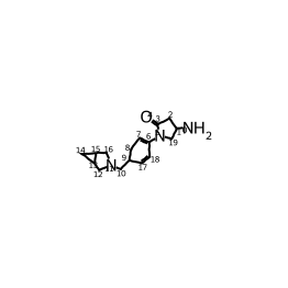 NC1CC(=O)N(C2=CCC(CN3CC4CC4C3)C=C2)C1